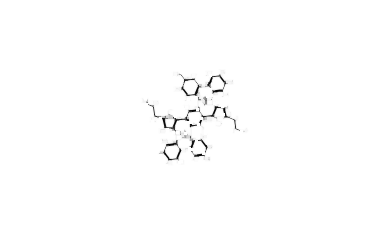 CCCc1cc2c(s1)-c1cc3c(cc1N(C1=CCC(C)C=C1)B2c1ccccc1)-c1sc(CCC)cc1B(c1ccccc1)N3c1ccccc1